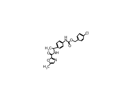 Cc1cnc(C(=O)NC(C)c2ccc(NC(=O)OCc3ccc(Cl)cc3)cc2)o1